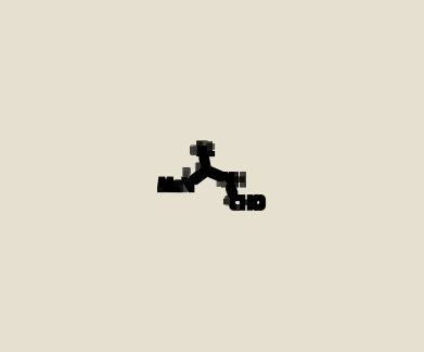 CCC(NC)NC=O